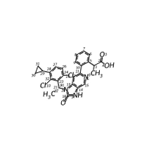 CC(C(=O)O)c1ccccc1-c1cc2c(cn1)[nH]c(=O)n2[C@H](C)c1c(Cl)ccc(C2CC2)c1Cl